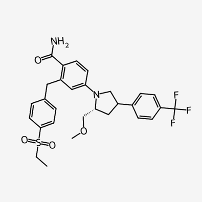 CCS(=O)(=O)c1ccc(Cc2cc(N3CC(c4ccc(C(F)(F)F)cc4)C[C@@H]3COC)ccc2C(N)=O)cc1